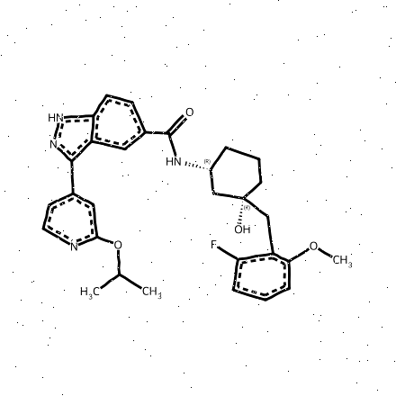 COc1cccc(F)c1C[C@]1(O)CCC[C@@H](NC(=O)c2ccc3[nH]nc(-c4ccnc(OC(C)C)c4)c3c2)C1